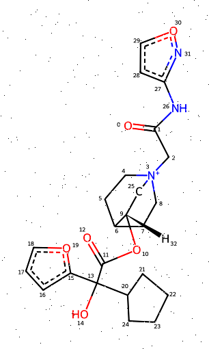 O=C(C[N+]12CCC(CC1)[C@@H](OC(=O)C(O)(c1ccco1)C1CCCC1)C2)Nc1ccon1